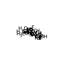 CCN(C(=O)OC(C)(C)C)c1cc(F)cc2c1[nH]c1ncc(-c3cnc(C4(C(=O)O)CC4)nc3)c(N(C)C)c12